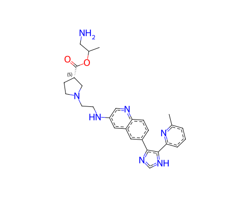 Cc1cccc(-c2[nH]cnc2-c2ccc3ncc(NCCN4CC[C@H](C(=O)OC(C)CN)C4)cc3c2)n1